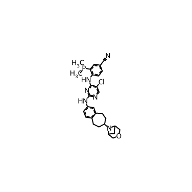 CP(C)c1cc(C#N)ccc1Nc1nc(Nc2ccc3c(c2)CCC(N2C4COCC2C4)CC3)ncc1Cl